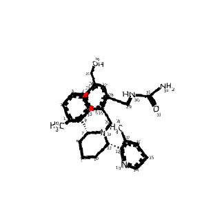 Cc1cccnc1[C@H]1CCC[C@@H](c2ncccc2C)N1Cc1ccc(CO)cc1CNC(N)=O